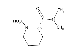 CN(C)C(=O)[C@@H]1CCCCN1C(=O)O